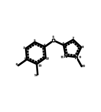 Cc1ccc(Oc2c[c]n(C)n2)cc1C